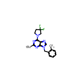 CC(C)(C)c1nc(N2CCC(F)(F)C2)c2ncn(Cc3ccccc3C(F)(F)F)c2n1